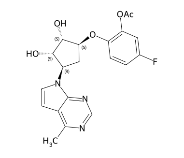 CC(=O)Oc1cc(F)ccc1O[C@H]1C[C@@H](n2ccc3c(C)ncnc32)[C@H](O)[C@@H]1O